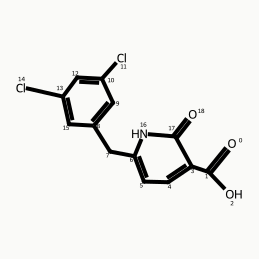 O=C(O)c1ccc(Cc2cc(Cl)cc(Cl)c2)[nH]c1=O